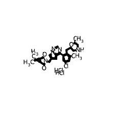 Cc1cc(Cl)cc(-c2ncnn3cc(CN4C(=O)C5C(C4=O)C5(C)C)cc23)c1CC1CNC[C@H](C)O1.Cl.Cl